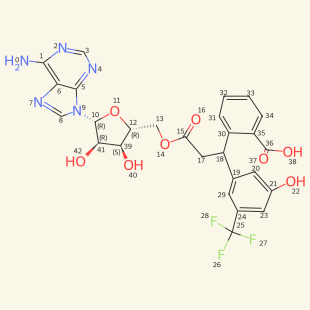 Nc1ncnc2c1ncn2[C@@H]1O[C@H](COC(=O)CC(c2cc(O)cc(C(F)(F)F)c2)c2ccccc2C(=O)O)[C@@H](O)[C@H]1O